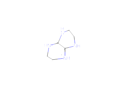 C1CNC2NCCN[C]2N1